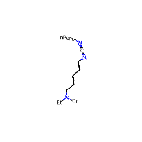 CCCCCN=C=NCCCCCN(CC)CC